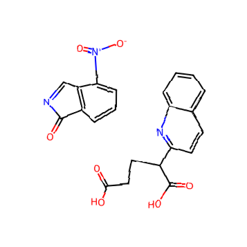 O=C(O)CCC(C(=O)O)c1ccc2ccccc2n1.O=C1N=Cc2c1cccc2[N+](=O)[O-]